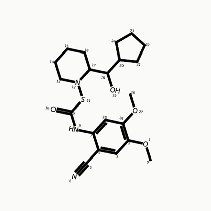 COc1cc(C#N)c(NC(=O)SN2CCCCC2C(O)C2CCCC2)cc1OC